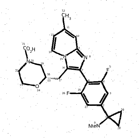 CNC1(c2cc(F)c(-c3nc4cc(C)ccn4c3C[C@H]3CN(C(=O)O)CCO3)c(F)c2)CC1